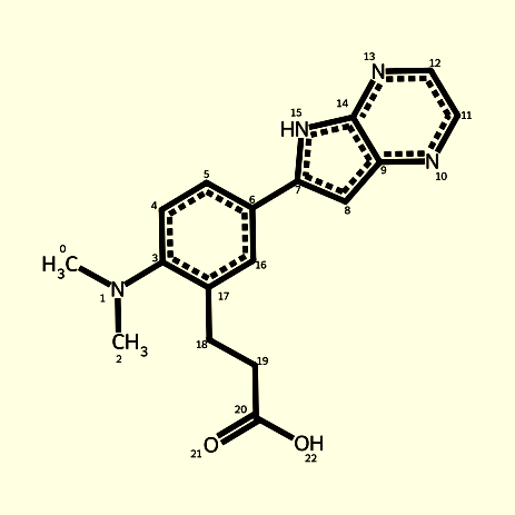 CN(C)c1ccc(-c2cc3nccnc3[nH]2)cc1CCC(=O)O